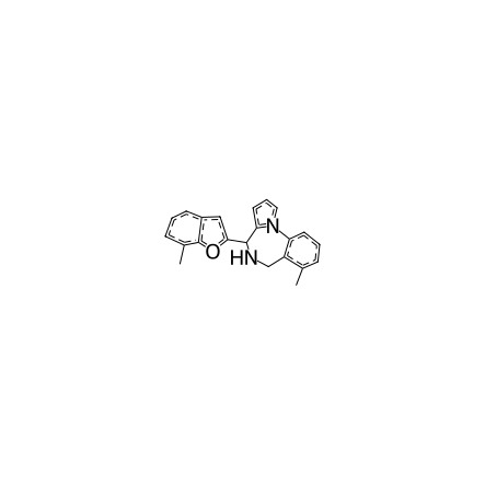 Cc1cccc2c1CNC(c1cc3cccc(C)c3o1)c1cccn1-2